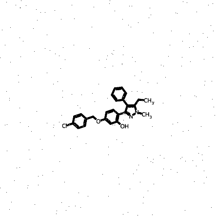 CCc1c(-c2ccccc2)c(-c2ccc(OCc3ccc(Cl)cc3)cc2O)nn1C